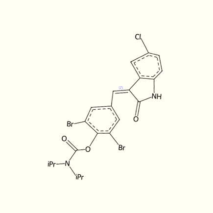 CC(C)N(C(=O)Oc1c(Br)cc(/C=C2\C(=O)Nc3ccc(Cl)cc32)cc1Br)C(C)C